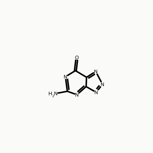 NC1=NC(=O)C2=NN=NC2=N1